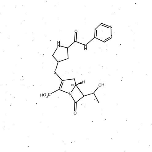 CC(O)C1C(=O)N2C(C(=O)O)=C(SC3CNC(C(=O)Nc4ccncc4)C3)C[C@H]12